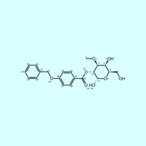 CO[C@H]1[C@@H](O)[C@@H](CO)O[C@H](O)[C@@H]1OC(=O)c1ccc(OCc2ccccc2)cc1